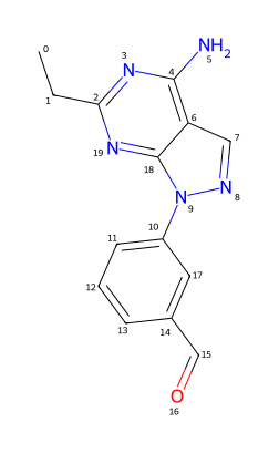 CCc1nc(N)c2cnn(-c3cccc(C=O)c3)c2n1